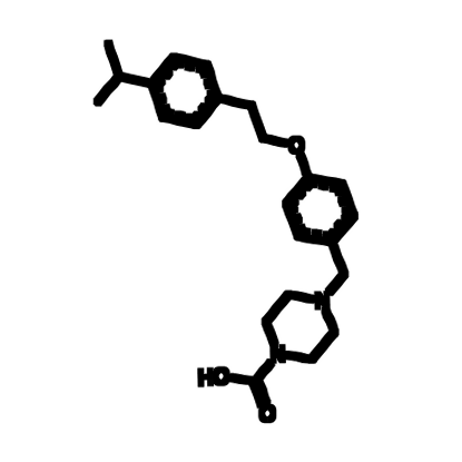 CC(C)c1ccc(CCOc2ccc(CN3CCN(C(=O)O)CC3)cc2)cc1